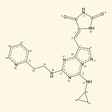 O=C1NC(=O)/C(=C/c2cnn3c(NC4CC4)nc(NCCc4ccccn4)nc23)N1